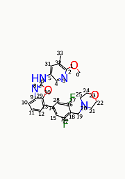 COc1ncc(Nc2nc3cccc(-c4cc(F)c(CN5CCOCC5)c(F)c4)c3o2)cc1C